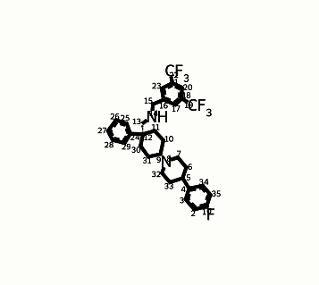 Fc1ccc(C2CCN([C@H]3CC[C@](CNCc4cc(C(F)(F)F)cc(C(F)(F)F)c4)(c4ccccc4)CC3)CC2)cc1